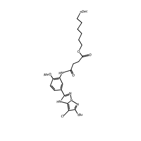 CCCCCCCCCCCCCCCCOC(=O)CCC(=O)Nc1cc(-c2nn3nc(C(C)(C)C)c(Cl)c3[nH]2)ccc1OC